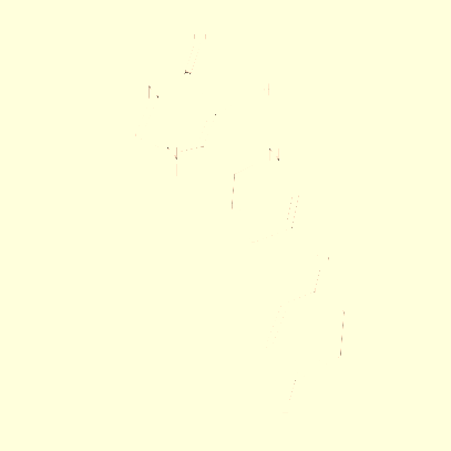 Cc1nc(=O)c(O)c(-c2ccc(Oc3ccc(F)cc3)cn2)[nH]1